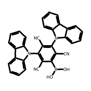 N#Cc1c(B(O)O)c(C#N)c(-n2c3ccccc3c3ccccc32)c(C#N)c1-n1c2ccccc2c2ccccc21